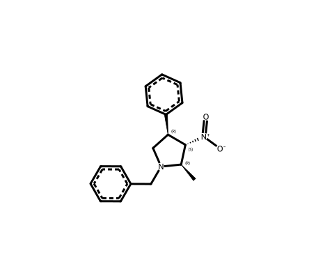 C[C@@H]1[C@@H]([N+](=O)[O-])[C@H](c2ccccc2)CN1Cc1ccccc1